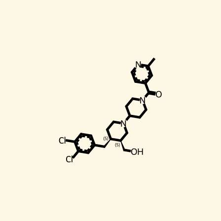 Cc1cc(C(=O)N2CCC(N3CC[C@H](Cc4ccc(Cl)c(Cl)c4)[C@H](CO)C3)CC2)ccn1